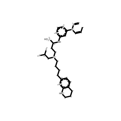 C=NN(/C=C\C)c1cc(NC(CCN(CCCCc2ccc3c(n2)NCCC3)CC(F)F)C(=O)O)ncn1